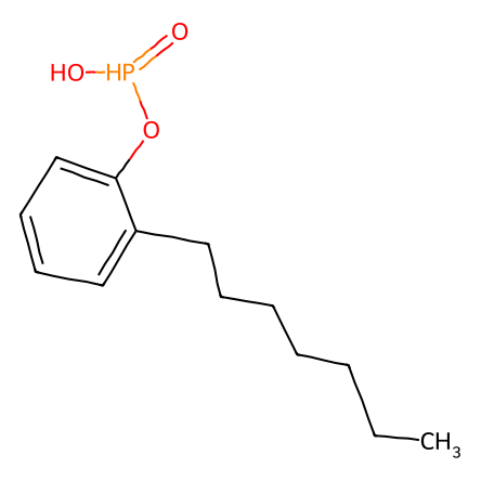 CCCCCCCc1ccccc1O[PH](=O)O